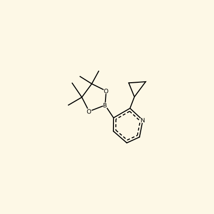 CC1(C)OB(c2cccnc2C2CC2)OC1(C)C